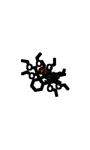 CCOC(OCC)C([SiH3])(OCC)C1CCCCC1(C([SiH3])(OCC)C(OCC)OCC)C([SiH3])(OCC)C(OCC)OCC